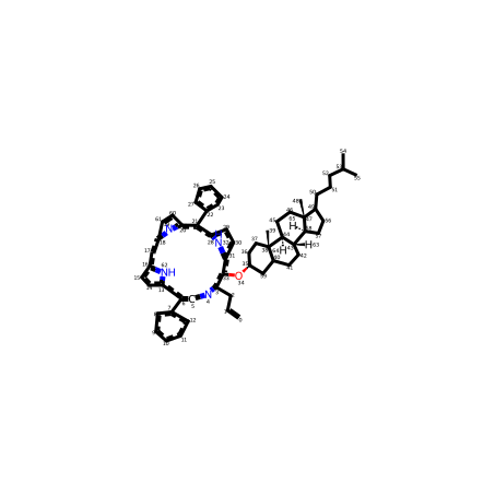 C=CCc1ncc(-c2ccccc2)c2ccc(cc3nc(c(-c4ccccc4)c4ccc([nH]4)c1O[C@H]1CC[C@@]4(C)C(CC[C@@H]5[C@@H]4CC[C@]4(C)C(CCCC(C)C)CC[C@@H]54)C1)C=C3)[nH]2